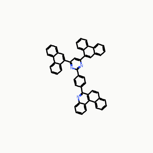 c1ccc2c(c1)cc(-c1cc(-c3cc4ccccc4c4ccccc34)nc(-c3ccc(-c4nc5ccccc5c5c4ccc4ccccc45)cc3)n1)c1ccccc12